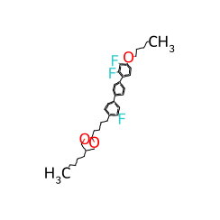 CCCCCOc1ccc(-c2ccc(-c3ccc(CCCCC4OCC(CCCCC)CO4)c(F)c3)cc2)c(F)c1F